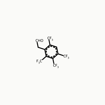 O=CCc1c(C(F)(F)F)cc(C(F)(F)F)c(C(F)(F)F)c1C(F)(F)F